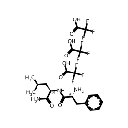 CC(C)C[C@@H](NC(=O)[C@H](N)Cc1ccccc1)C(N)=O.O=C(O)C(F)(F)F.O=C(O)C(F)(F)F.O=C(O)C(F)(F)F